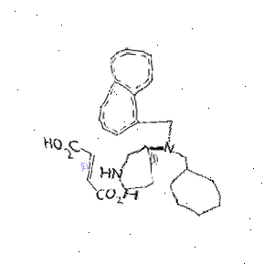 O=C(O)/C=C/C(=O)O.c1ccc2c(CN(CC3CCCCC3)[C@H]3CCNC3)cccc2c1